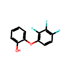 Oc1ccccc1Oc1ccc(F)c(F)c1F